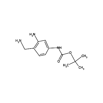 CC(C)(C)OC(=O)Nc1ccc(CN)c(N)c1